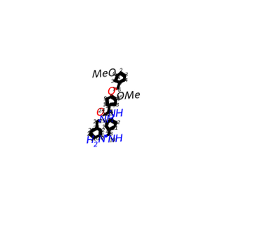 COc1cccc(COc2ccc([C@H](Nc3ccc(C(=N)N)cc3)C(=O)NCc3ccccc3)cc2OC)c1